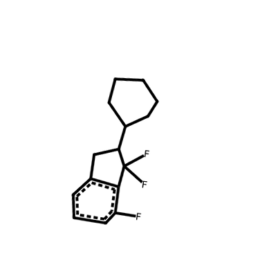 Fc1cccc2c1C(F)(F)C(C1CCCCC1)C2